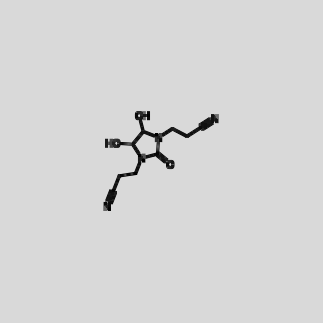 N#CCCN1C(=O)N(CCC#N)C(O)C1O